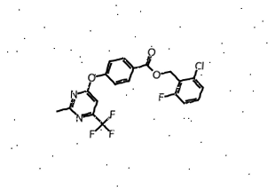 Cc1nc(Oc2ccc(C(=O)OCc3c(F)cccc3Cl)cc2)cc(C(F)(F)F)n1